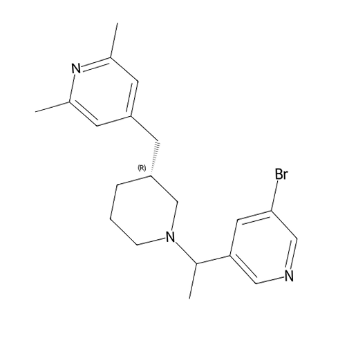 Cc1cc(C[C@H]2CCCN(C(C)c3cncc(Br)c3)C2)cc(C)n1